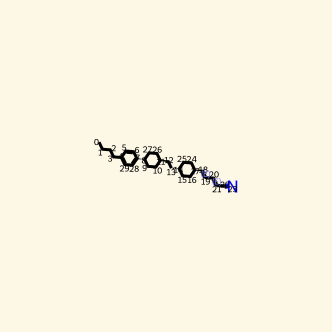 CCCCc1ccc([C@H]2CC[C@H](CC[C@H]3CC[C@H](/C=C/C=C/C#N)CC3)CC2)cc1